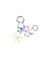 C[N+]1(C)CCN[PH]1(On1nnc2ccccc21)N1CCCC1.F[P-](F)(F)(F)(F)F